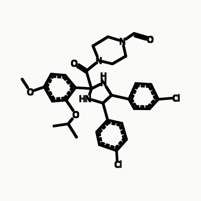 COc1ccc(C2(C(=O)N3CCN(C=O)CC3)NC(c3ccc(Cl)cc3)C(c3ccc(Cl)cc3)N2)c(OC(C)C)c1